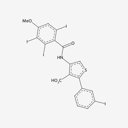 COc1cc(I)c(C(=O)Nc2csc(-c3cccc(I)c3)c2C(=O)O)c(I)c1I